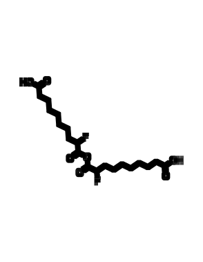 O=C(O)CCCCCCCC(F)C(=O)OC(=O)C(F)CCCCCCCC(=O)O